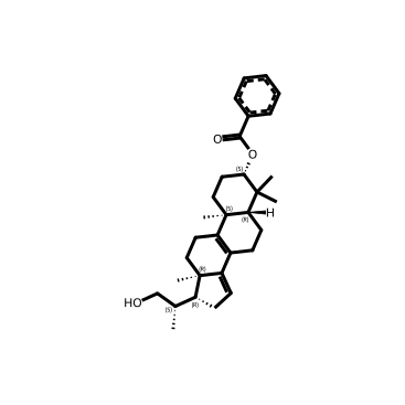 C[C@H](CO)[C@H]1CC=C2C3=C(CC[C@@]21C)[C@@]1(C)CC[C@H](OC(=O)c2ccccc2)C(C)(C)[C@@H]1CC3